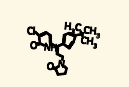 CC(C)(C)c1ccc(/C(=C\CN2CCCC2=O)c2ccc(Cl)c(=O)[nH]2)cc1